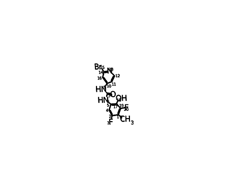 Cc1c(F)cc(NC(=O)Nc2ccnc(Br)c2)c(O)c1F